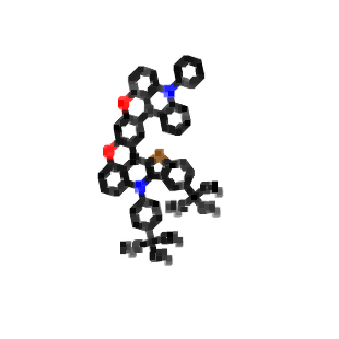 CC(C)(C)c1ccc(N2c3cccc4c3B(c3cc5c(cc3O4)Oc3cccc4c3B5c3ccccc3N4c3ccccc3)c3sc4ccc(C(C)(C)C)cc4c32)cc1